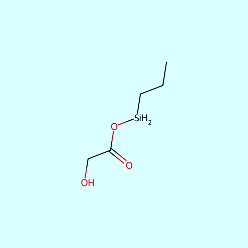 CCC[SiH2]OC(=O)CO